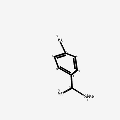 CCc1ccc(C(CC)NC)cc1